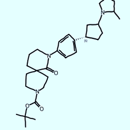 CC1CCCN1C1CC[C@H](c2ccc(N3CCCC4(CCN(C(=O)OC(C)(C)C)CC4)C3=O)cc2)C1